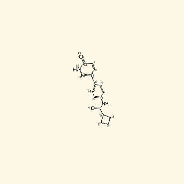 O=C(Nc1ccc(-c2ccc(=O)[nH]n2)cc1)C1CCC1